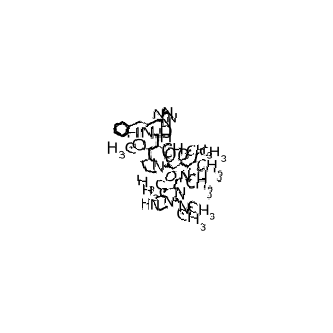 CC[C@H](C)[C@@H]([C@@H](CC(=O)N1CCC[C@H]1[C@H](OC)[C@@H](C)C(=O)N[C@@H](Cc1ccccc1)c1nnn[nH]1)OC)N(C)C(=O)[C@@H](N=C(N(C)C)N1CCNCC1)C(C)C